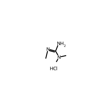 CN=C(N)N(C)C.Cl